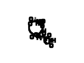 C[C@@H]1N[PH](=O)OC[C@H]2O[C@@H](n3ccc(=O)[nH]c3=O)[C@](C)(F)[C@@H]2OC(=O)CCCOC1=O